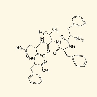 CC(C)[C@H](NC(=O)[C@H](Cc1ccccc1)NC(=O)[C@@H](N)Cc1ccccc1)C(=O)N[C@@H](CC(=O)O)C(=O)N[C@@H](Cc1ccccc1)C(=O)O